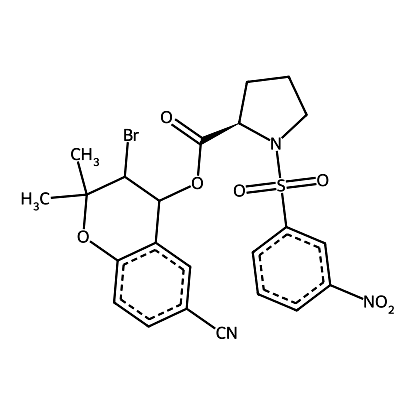 CC1(C)Oc2ccc(C#N)cc2C(OC(=O)[C@H]2CCCN2S(=O)(=O)c2cccc([N+](=O)[O-])c2)C1Br